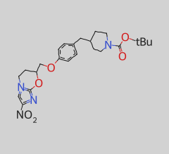 CC(C)(C)OC(=O)N1CCC(Cc2ccc(OCC3CCn4cc([N+](=O)[O-])nc4O3)cc2)CC1